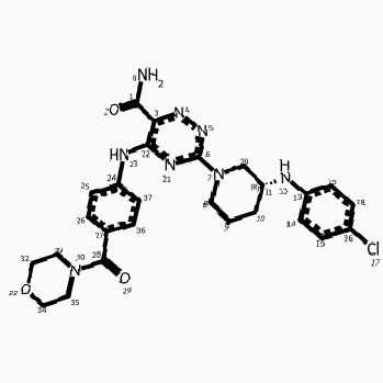 NC(=O)c1nnc(N2CCC[C@@H](Nc3ccc(Cl)cc3)C2)nc1Nc1ccc(C(=O)N2CCOCC2)cc1